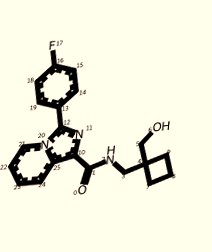 O=C(NCC1(CO)CCC1)c1nc(-c2ccc(F)cc2)n2ccccc12